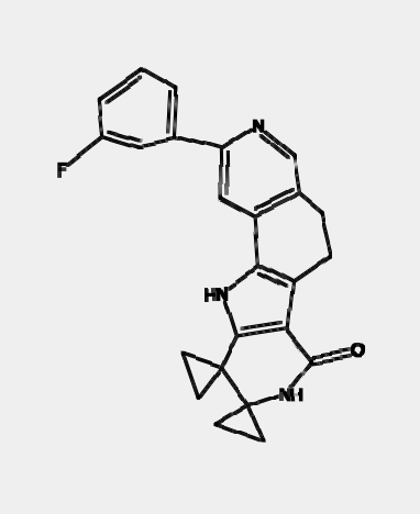 O=C1NC2(CC2)C2(CC2)c2[nH]c3c(c21)CCc1cnc(-c2cccc(F)c2)cc1-3